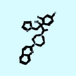 CC(N1CCCN(c2ccc3ccccc3n2)CC1)C(O)(Cn1cncn1)c1ccc(F)cc1F